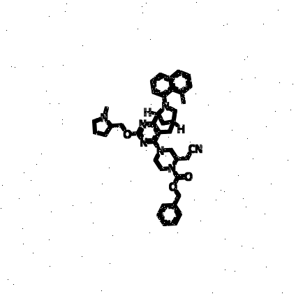 Cc1cccc2cccc(N3C[C@@H]4Cc5c(nc(OCC6CCCN6C)nc5N5CCN(C(=O)OCc6ccccc6)C(CC#N)C5)[C@H]3C4)c12